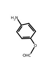 Nc1ccc(O[C]=O)cc1